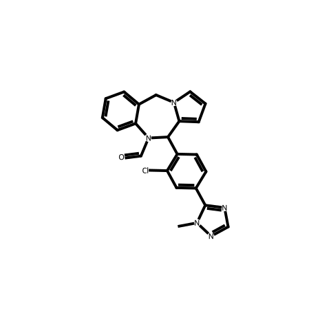 Cn1ncnc1-c1ccc(C2c3cccn3Cc3ccccc3N2C=O)c(Cl)c1